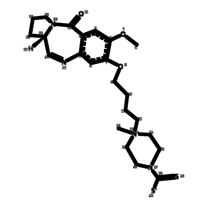 COc1cc2c(cc1OCCCC[N+]1(C)CCN(C(=S)[S-])CC1)N=C[C@@H]1CCCN1C2=O